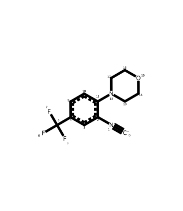 [C-]#[N+]c1cc(C(F)(F)F)ccc1N1CCOCC1